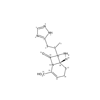 CC(Sc1ncn[nH]1)C1(N)C(=O)N2C(C(=O)O)=CCS[C@H]21